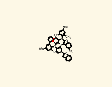 Cc1cc(C(C)(C)C)cc(C)c1N1c2cccc3c2B(c2cc(-c4cc5ccccc5o4)ccc2N3c2c(C)cc(C(C)(C)C)cc2-c2ccccc2)c2c1oc1ccc(C(C)(C)C)cc21